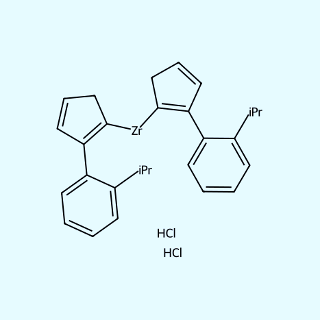 CC(C)c1ccccc1C1=[C]([Zr][C]2=C(c3ccccc3C(C)C)C=CC2)CC=C1.Cl.Cl